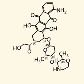 C[C@@H]1O[C@@H](O[C@H]2C[C@H](C(=O)CO)Cc3c(O)c4c(c(O)c32)C(=O)c2c(N)cccc2C4=O)CC[C@@H]1O[C@H]1NCCO[C@@H]1C